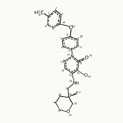 Cc1ccc(Oc2ccc(-n3ncc(NC[C@@]4(F)CCCOC4)c(Cl)c3=O)cn2)cc1